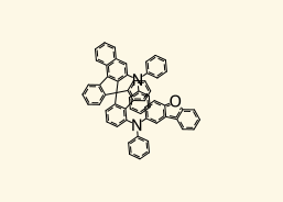 c1ccc(N(c2ccc3oc4ccccc4c3c2)c2cccc3c2-c2ccccc2C32c3ccccc3-c3c2c(N(c2ccccc2)c2ccccc2)cc2ccccc32)cc1